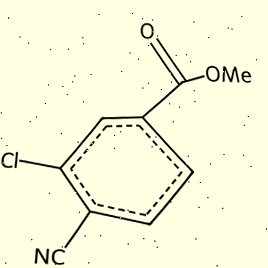 COC(=O)c1ccc(C#N)c(Cl)c1